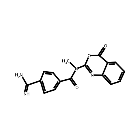 CN(C(=O)c1ccc(C(=N)N)cc1)c1nc2ccccc2c(=O)o1